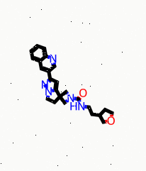 O=C(NCCC1CCOC1)N1CC2(CCn3nc(-c4cnc5ccccc5c4)cc32)C1